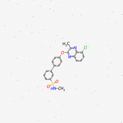 CNS(=O)(=O)c1cccc(-c2ccc(Oc3nc4cccc(Cl)c4nc3C)cc2)c1